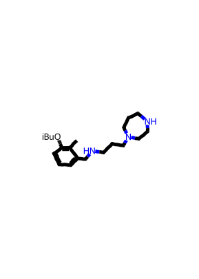 Cc1c(CNCCCN2CCCNCC2)cccc1OCC(C)C